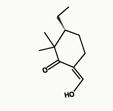 CC[C@@H]1CC/C(=C/O)C(=O)C1(C)C